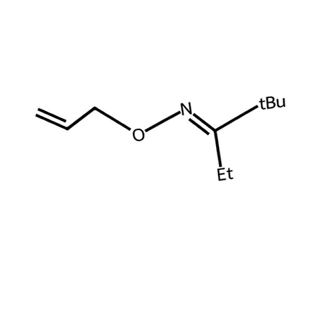 C=CCO/N=C(\CC)C(C)(C)C